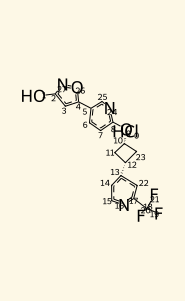 Cl.Oc1cc(-c2ccc(O[C@H]3C[C@@H](c4ccnc(C(F)(F)F)c4)C3)nc2)on1